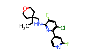 CCC1(CNc2nc(-c3ccnc(F)c3)c(Cl)cc2F)CCOCC1